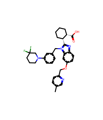 Cc1ccc(COc2ccc3nc([C@@H]4CCCC[C@@H]4C(=O)O)n(Cc4cccc(N5CCCC(F)(F)C5)c4)c3c2)nc1